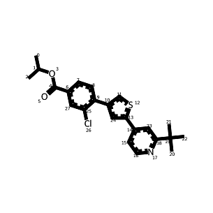 CC(C)OC(=O)c1ccc(-c2csc(-c3ccnc(C(C)(C)C)c3)c2)c(Cl)c1